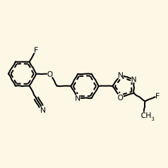 CC(F)c1nnc(-c2ccc(COc3c(F)cccc3C#N)nc2)o1